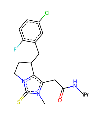 CC(C)NC(=O)Cc1c2n(c(=S)n1C)CCC2Cc1cc(Cl)ccc1F